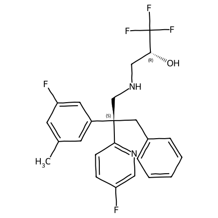 Cc1cc(F)cc([C@](CNC[C@@H](O)C(F)(F)F)(Cc2ccccc2)c2ccc(F)cn2)c1